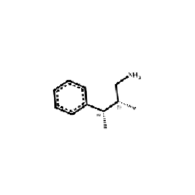 C[C@H](c1ccccc1)[C@@H](C)CN